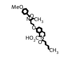 CC=CC=CC(=O)N1CCc2ccc(OCCc3nc(-c4ccc(OC)cc4)oc3C)cc2C1C(=O)O